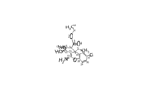 CCOC(=O)C(C#N)C1(CC)C(C(=O)O)=C(N)Oc2ccc(Cl)cc21